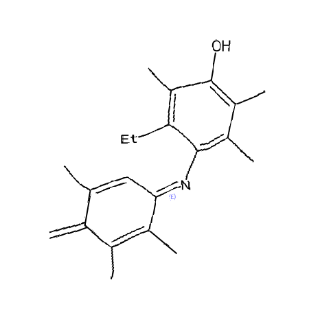 C=C1C(C)=C/C(=N\c2c(C)c(C)c(O)c(C)c2CC)C(C)=C1C